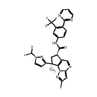 C[C@]1(c2ccn(C(F)F)n2)C[C@@H](C(=O)Nc2ccc(-c3ncccn3)c(C(F)(F)F)c2)c2cnc3cc(F)nn3c21